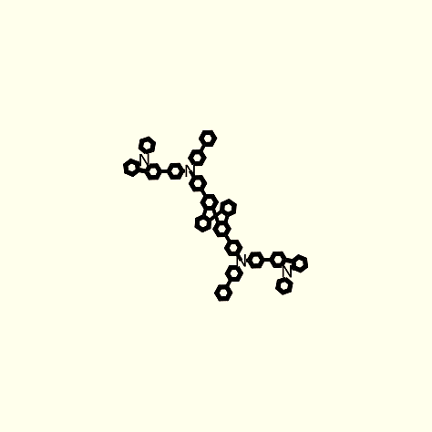 c1ccc(-c2ccc(N(c3ccc(-c4ccc5c(c4)-c4ccccc4C54c5ccccc5-c5cc(-c6ccc(N(c7ccc(-c8ccccc8)cc7)c7ccc(-c8ccc9c%10ccccc%10n(-c%10ccccc%10)c9c8)cc7)cc6)ccc54)cc3)c3ccc(-c4ccc5c6ccccc6n(-c6ccccc6)c5c4)cc3)cc2)cc1